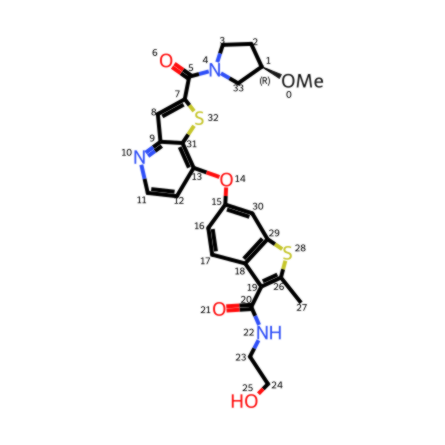 CO[C@@H]1CCN(C(=O)c2cc3nccc(Oc4ccc5c(C(=O)NCCO)c(C)sc5c4)c3s2)C1